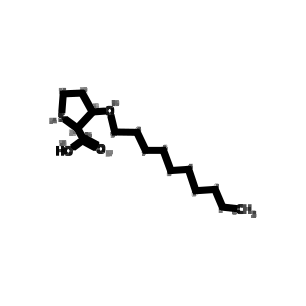 CCCCCCCCCCOC1CCSC1C(=O)O